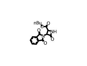 CCCCOC(=O)C1NC(=O)C1N1C(=O)c2ccccc2C1=O